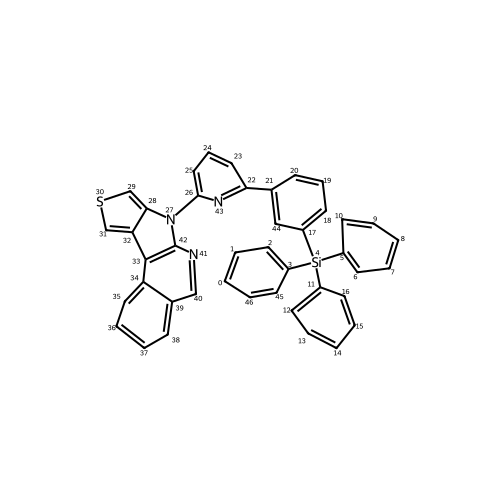 c1ccc([Si](c2ccccc2)(c2ccccc2)c2cccc(-c3cccc(-n4c5cscc5c5c6ccccc6cnc54)n3)c2)cc1